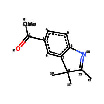 COC(=O)c1ccc2c(c1)C(C)(C)C(C)=N2